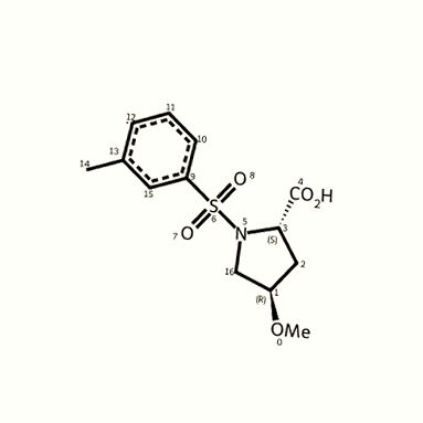 CO[C@@H]1C[C@@H](C(=O)O)N(S(=O)(=O)c2cc[c]c(C)c2)C1